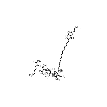 CC(O)C(N)C(=O)O.CC(O)C(N)C(=O)O.CCCCCCCCCCCCCCCC(=O)NC(CCCCN)C(=O)O.NC(CO)C(=O)O.NCCCCC(N)C(=O)O